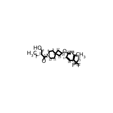 CC[C@H](CO)C(=O)N1CCC2(CC1)CC(Oc1ccc(C(F)(F)F)c(C)n1)C2